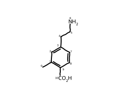 Cc1cc(CCN)ccc1C(=O)O